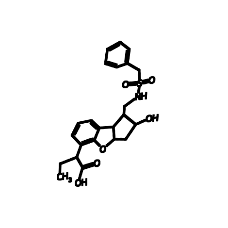 CCC(C(=O)O)c1cccc2c1OC1CC(O)C(CNS(=O)(=O)Cc3ccccc3)C21